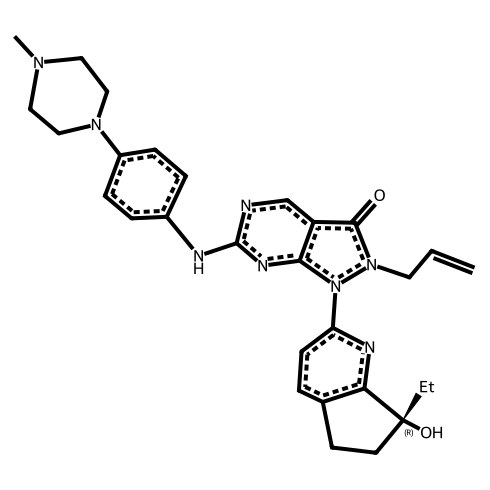 C=CCn1c(=O)c2cnc(Nc3ccc(N4CCN(C)CC4)cc3)nc2n1-c1ccc2c(n1)[C@@](O)(CC)CC2